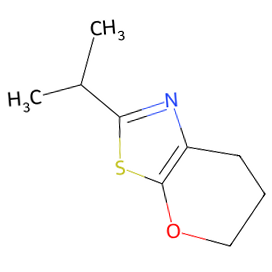 CC(C)c1nc2c(s1)OCCC2